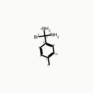 Cc1ccc(C(N)(N)Br)cc1